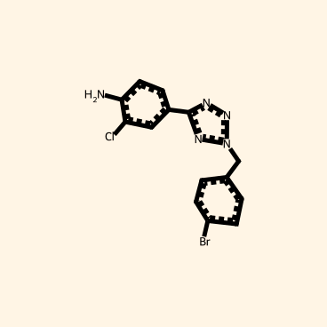 Nc1ccc(-c2nnn(Cc3ccc(Br)cc3)n2)cc1Cl